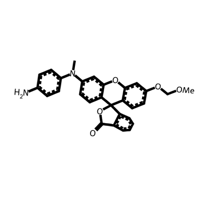 COCOc1ccc2c(c1)Oc1cc(N(C)c3ccc(N)cc3)ccc1C21OC(=O)c2ccccc21